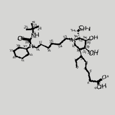 CCC(CCCCC(=O)O)[C@H]1CN(CCCCCCN(C(=O)NC(C)(C)C)C2CCCCC2)[C@H](CO)[C@@H](O)[C@H]1O